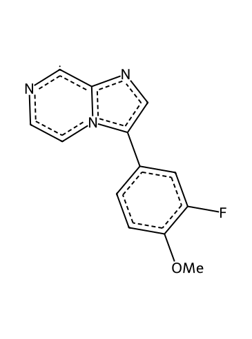 COc1ccc(-c2cnc3[c]nccn23)cc1F